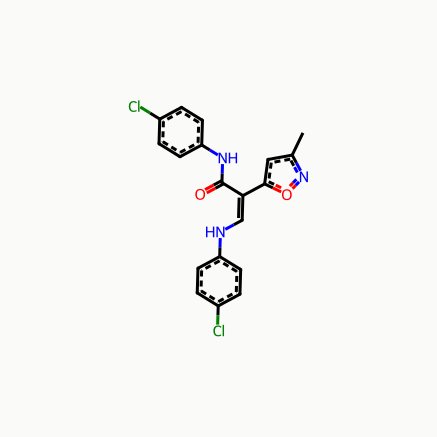 Cc1cc(C(=CNc2ccc(Cl)cc2)C(=O)Nc2ccc(Cl)cc2)on1